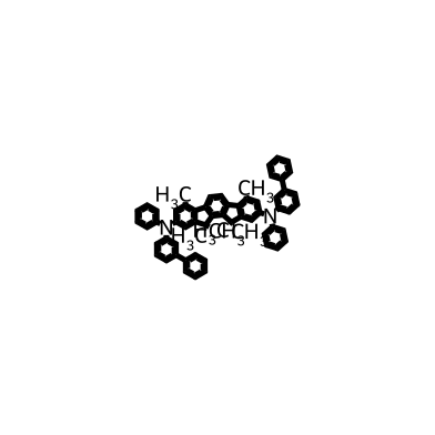 Cc1cc(N(c2ccccc2)c2cccc(-c3ccccc3)c2)cc2c1-c1ccc3c(c1C2(C)C)C(C)(C)c1cc(N(c2ccccc2)c2cccc(-c4ccccc4)c2)cc(C)c1-3